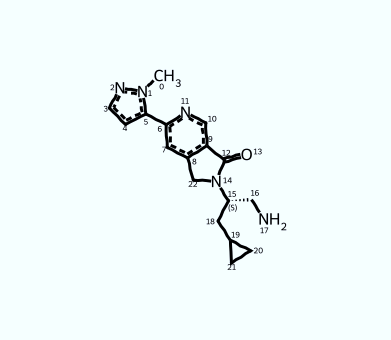 Cn1nccc1-c1cc2c(cn1)C(=O)N([C@H](CN)CC1CC1)C2